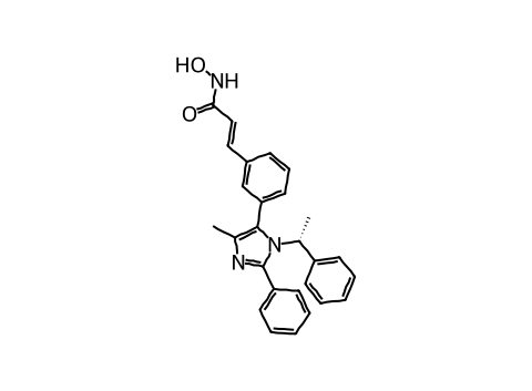 Cc1nc(-c2ccccc2)n([C@H](C)c2ccccc2)c1-c1cccc(C=CC(=O)NO)c1